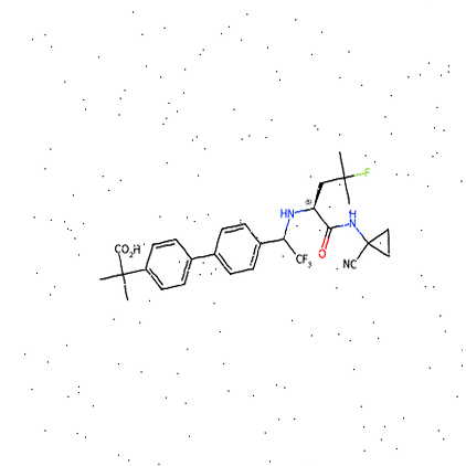 CC(C)(F)C[C@H](NC(c1ccc(-c2ccc(C(C)(C)C(=O)O)cc2)cc1)C(F)(F)F)C(=O)NC1(C#N)CC1